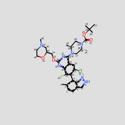 Cc1ccc2c[nH]nc2c1-c1c(Cl)cc2c(N3C[C@@H](C)N(C(=O)OC(C)(C)C)C[C@@H]3C)nc(OCC3CN(C)CCO3)nc2c1F